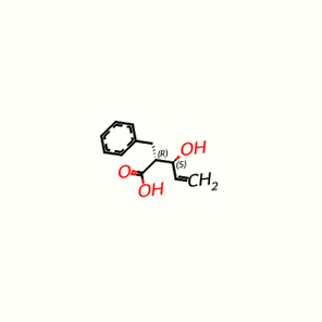 C=C[C@H](O)[C@@H](Cc1ccccc1)C(=O)O